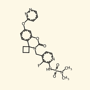 CN(C)S(=O)(=O)Nc1nccc(CN2C(=O)Oc3cc(Oc4cccnn4)ccc3C23CCC3)c1F